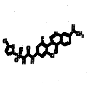 CNc1ccc2c(=O)n(-c3c(F)cc(NC(=O)NS(=O)(=O)c4ccc(Cl)s4)cc3Cl)cnc2c1